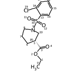 CCOC(=O)[C@@H]1CCCN(S(=O)(=O)c2ccccc2Cl)C1